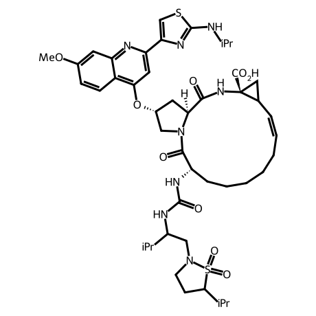 COc1ccc2c(O[C@@H]3C[C@H]4C(=O)N[C@]5(C(=O)O)CC5/C=C\CCCCC[C@H](NC(=O)NC(CN5CCC(C(C)C)S5(=O)=O)C(C)C)C(=O)N4C3)cc(-c3csc(NC(C)C)n3)nc2c1